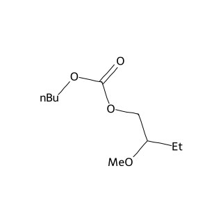 CCCCOC(=O)OCC(CC)OC